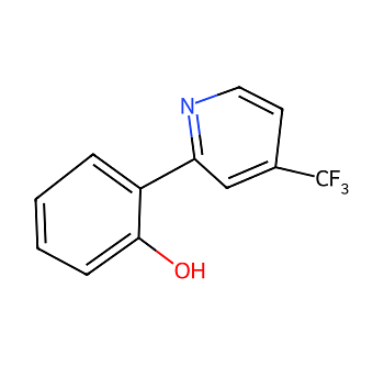 Oc1ccccc1-c1cc(C(F)(F)F)ccn1